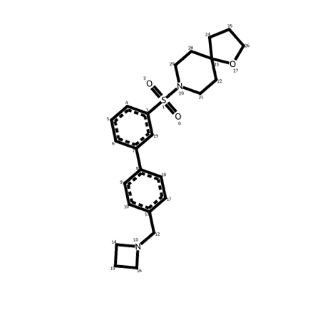 O=S(=O)(c1cccc(-c2ccc(CN3CCC3)cc2)c1)N1CCC2(CCCO2)CC1